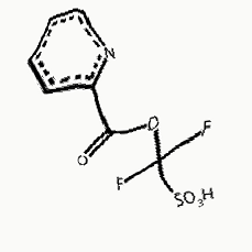 O=C(OC(F)(F)S(=O)(=O)O)c1ccccn1